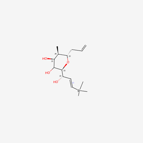 C=CC[C@@H]1O[C@@H]([C@@H](O)/C=C/[Si](C)(C)C)C(O)[C@@H](O)[C@H]1C